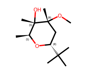 CO[C@]1(C)C[C@H](C(C)(C)C)O[C@@H](C)[C@]1(C)O